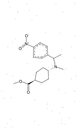 COC(=O)[C@H]1CC[C@H](N(C)C(C)c2ccc([N+](=O)[O-])cc2)CC1